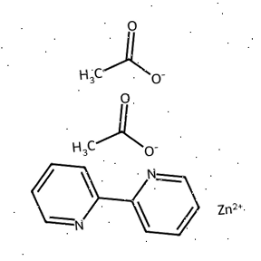 CC(=O)[O-].CC(=O)[O-].[Zn+2].c1ccc(-c2ccccn2)nc1